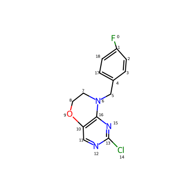 Fc1ccc(CN2CCOc3cnc(Cl)nc32)cc1